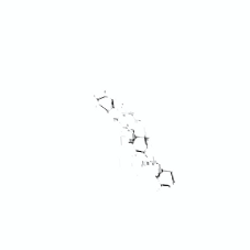 C[Si]1(c2ccccc2)CCN(c2c(F)cc(N(Cc3ccccc3)C(=O)O)cc2F)CC1